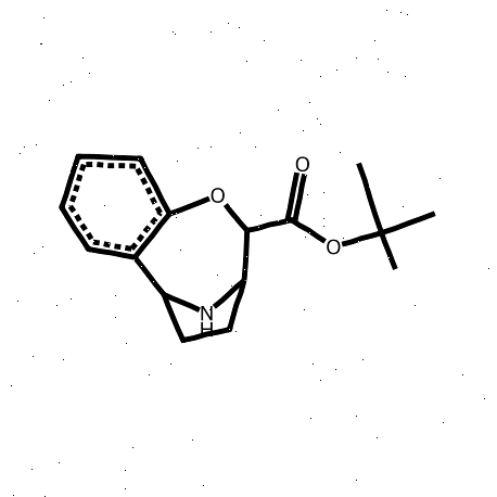 CC(C)(C)OC(=O)C1Oc2ccccc2C2CCC1N2